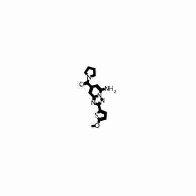 COc1ccc(-c2nc3cc(C(=O)N4CCCC4)cc(N)n3n2)s1